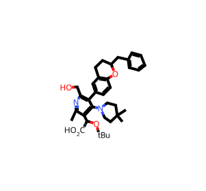 Cc1nc(CO)c(-c2ccc3c(c2)CCC(Cc2ccccc2)O3)c(N2CCC(C)(C)CC2)c1C(OC(C)(C)C)C(=O)O